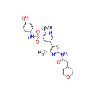 COc1ncc(-c2sc(NC(=O)CC3CCOCC3)nc2C)cc1S(=O)(=O)Nc1ccc(O)cc1